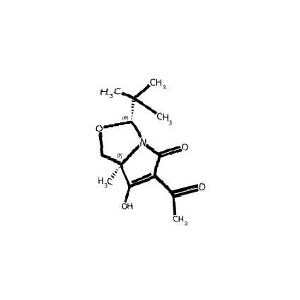 CC(=O)C1=C(O)[C@@]2(C)CO[C@H](C(C)(C)C)N2C1=O